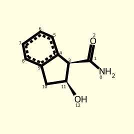 NC(=O)[C@@H]1c2ccccc2C[C@@H]1O